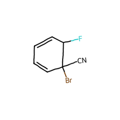 N#CC1(Br)C=CC=CC1F